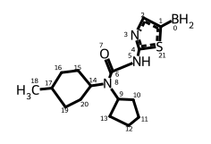 Bc1cnc(NC(=O)N(C2CCCC2)C2CCC(C)CC2)s1